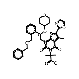 Cc1c(-c2ncco2)sc2c1c(=O)n(C(C)(C)C(=O)O)c(=O)n2C[C@H](OC1CCOCC1)c1ccccc1COCc1ccccc1